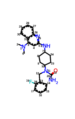 CN(C)c1cc(NC2CCC(N(Cc3ccccc3F)C(N)=O)CC2)nc2ccccc12